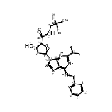 CC(C)c1nc(NCc2ccccc2)c2ncn([C@H]3C[C@H](O)[C@@H](C(=O)NCC(F)(F)F)O3)c2n1